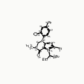 CCCCC(CC)n1c(CC)nc2c1C(=O)N(C)CN2c1ccc(C(C)C)cc1Cl